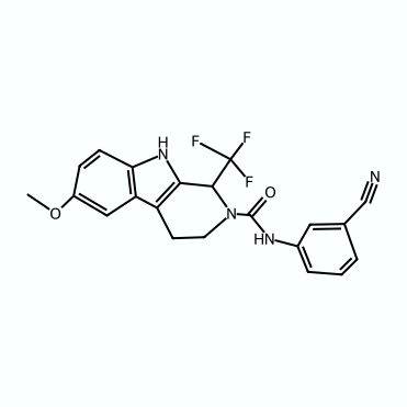 COc1ccc2[nH]c3c(c2c1)CCN(C(=O)Nc1cccc(C#N)c1)C3C(F)(F)F